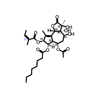 C/C=C(/C)C(=O)O[C@H]1C(C)=C2[C@H]([C@@H]1OC(=O)CCCCCCC)[C@@H](OC(C)=O)C[C@H](O)[C@@]1(O)[C@H]2OC(=O)[C@@]1(C)O